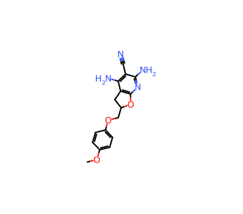 COc1ccc(OCC2Cc3c(nc(N)c(C#N)c3N)O2)cc1